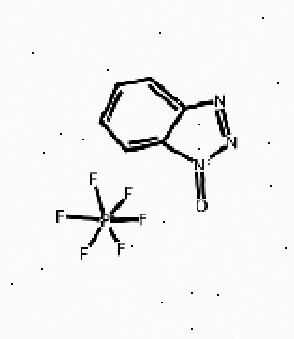 F[P-](F)(F)(F)(F)F.O=[N+]1N=Nc2ccccc21